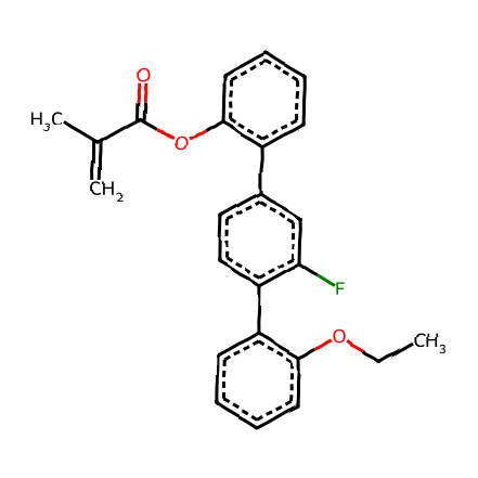 C=C(C)C(=O)Oc1ccccc1-c1ccc(-c2ccccc2OCC)c(F)c1